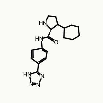 O=C(Nc1ccc(-c2nnn[nH]2)cc1)[C@H]1NCCC1C1CCCCC1